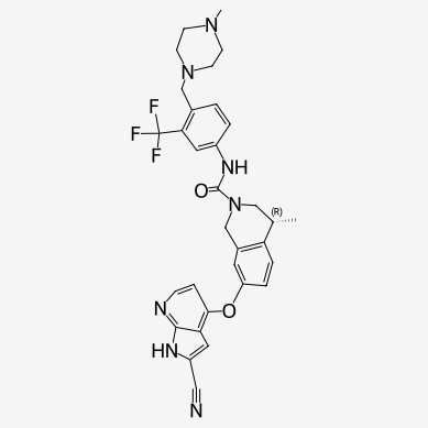 C[C@H]1CN(C(=O)Nc2ccc(CN3CCN(C)CC3)c(C(F)(F)F)c2)Cc2cc(Oc3ccnc4[nH]c(C#N)cc34)ccc21